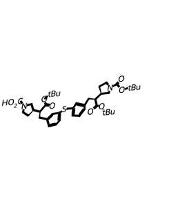 CC(C)(C)OC(=O)[C@@H](Cc1cccc(Sc2cccc(C[C@H](C(=O)OC(C)(C)C)[C@H]3CCN(C(=O)OC(C)(C)C)C3)c2)c1)[C@H]1CCN(C(=O)O)C1